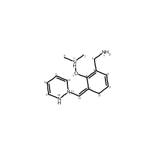 C[SiH](C)OC1=C(CN)C=CCC1=CN1C=CC=CN1